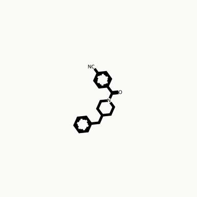 N#Cc1ccc(C(=O)N2CCC(Cc3ccccc3)CC2)cc1